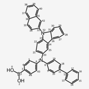 OB(O)c1ccc(N(c2ccc(-c3ccccc3)cc2)c2ccc3c(c2)c2ccccc2n3-c2ccc3ccccc3c2)cc1